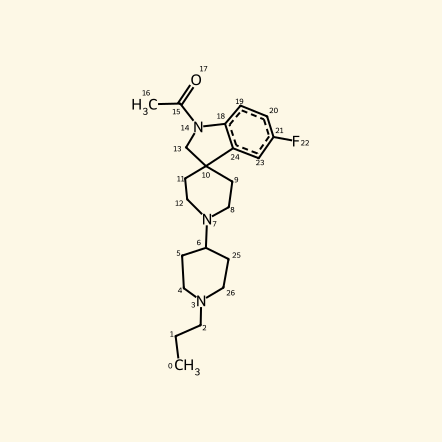 CCCN1CCC(N2CCC3(CC2)CN(C(C)=O)c2ccc(F)cc23)CC1